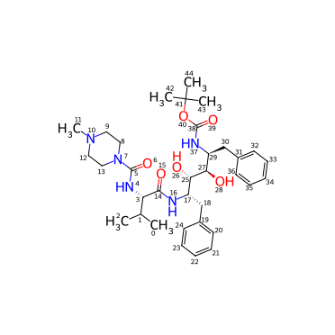 CC(C)[C@H](NC(=O)N1CCN(C)CC1)C(=O)N[C@@H](Cc1ccccc1)[C@H](O)[C@H](O)[C@H](Cc1ccccc1)NC(=O)OC(C)(C)C